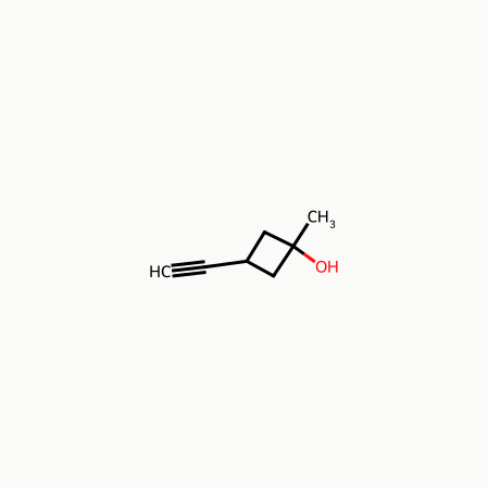 C#CC1CC(C)(O)C1